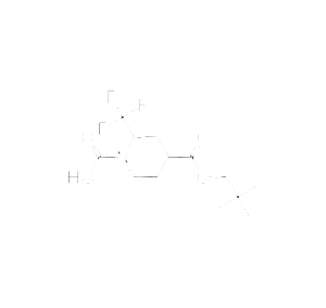 CC(C)(C)COC(=O)C1CCN(C(=O)O)C(C(F)(F)F)C1